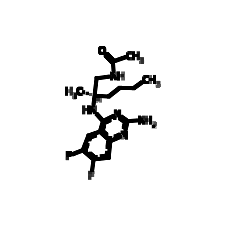 CCCC[C@](C)(CNC(C)=O)Nc1nc(N)nc2cc(F)c(F)cc12